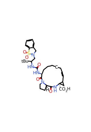 CC(C)(C)C(CN1Cc2ccccc2S1(=O)=O)NC(=O)N[C@H]1CCCCC/C=C\C2C[C@@]2(C(=O)O)NC(=O)[C@@H]2CCCN2C1=O